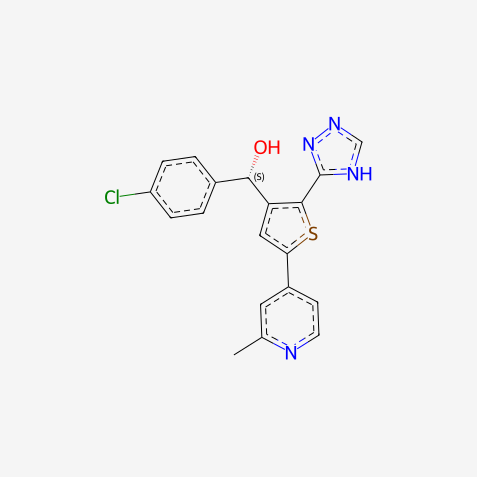 Cc1cc(-c2cc([C@@H](O)c3ccc(Cl)cc3)c(-c3nnc[nH]3)s2)ccn1